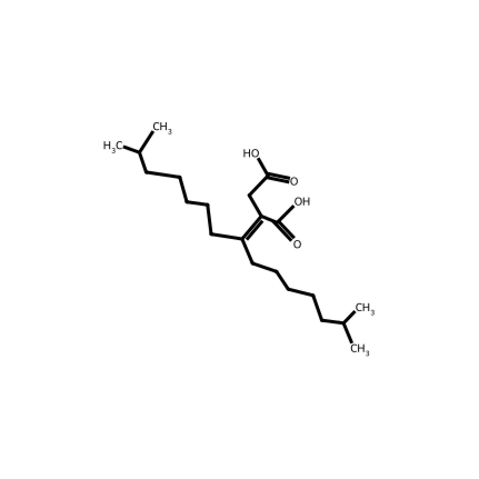 CC(C)CCCCCC(CCCCCC(C)C)=C(CC(=O)O)C(=O)O